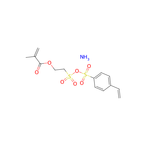 C=Cc1ccc(S(=O)(=O)OS(=O)(=O)CCOC(=O)C(=C)C)cc1.N